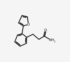 NC(=O)CCc1ccccc1-c1ccco1